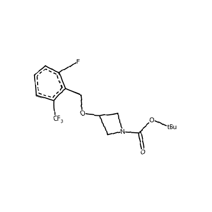 CC(C)(C)OC(=O)N1CC(OCc2c(F)cccc2C(F)(F)F)C1